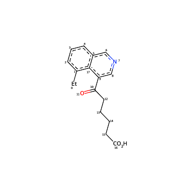 CCc1cccc2cncc(C(=O)CCCCC(=O)O)c12